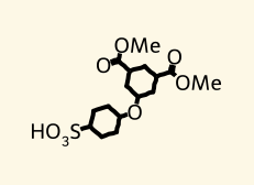 COC(=O)C1CC(OC2CCC(S(=O)(=O)O)CC2)CC(C(=O)OC)C1